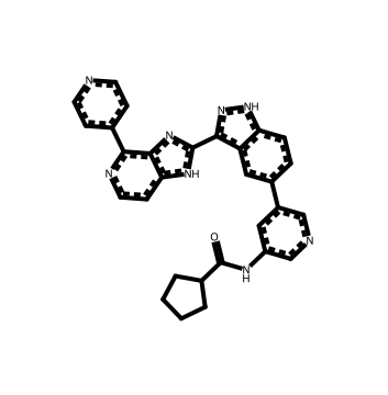 O=C(Nc1cncc(-c2ccc3[nH]nc(-c4nc5c(-c6ccncc6)nccc5[nH]4)c3c2)c1)C1CCCC1